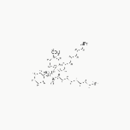 CC(C)CCCCCCCC(C(=O)OC1CCCCC1)=C(CCCCCCCC(C)C)C1(C(=O)O)CCC(C(=O)O)CC1